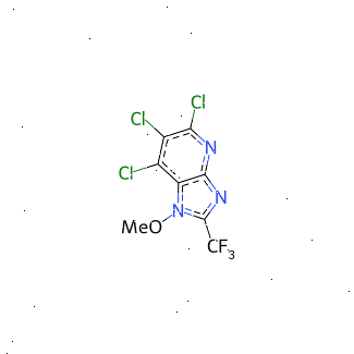 COn1c(C(F)(F)F)nc2nc(Cl)c(Cl)c(Cl)c21